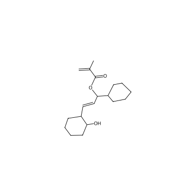 C=C(C)C(=O)OC(C=CC1CCCCC1O)C1CCCCC1